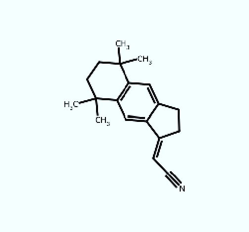 CC1(C)CCC(C)(C)c2cc3c(cc21)CCC3=CC#N